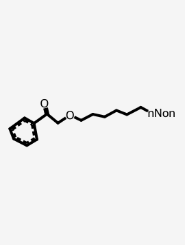 CCCCCCCCCCCCCCCOCC(=O)c1ccccc1